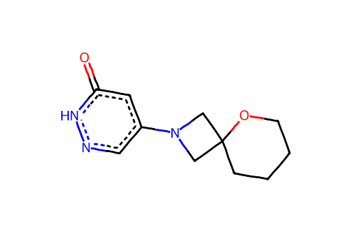 O=c1cc(N2CC3(CCCCO3)C2)cn[nH]1